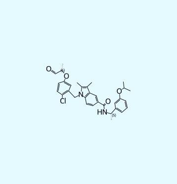 Cc1c(C)n(Cc2cc(O[C@@H](C)C=O)ccc2Cl)c2ccc(C(=O)N[C@@H](C)c3cccc(OC(C)C)c3)cc12